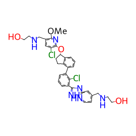 COc1nc(O[C@H]2CCc3c(-c4cccc(C(=N)/N=c5/cc(CNCCO)cc[nH]5)c4Cl)cccc32)c(Cl)cc1CNCCO